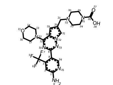 Nc1cc(C(F)(F)F)c(-c2nc(N3CCOCC3)c3cc(CN4CCN(C(=O)O)CC4)cn3n2)cn1